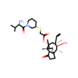 C=C[C@]1(C)C[C@@H](OC(=O)CS[C@H]2CCCN(C(=O)[C@H](N)C(C)C)C2)[C@]2(C)C(C)CC[C@]3(CCC(=O)C32)[C@@H](C)[C@@H]1O